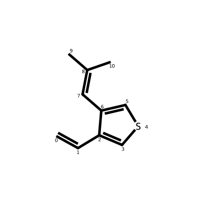 C=Cc1cscc1C=C(C)C